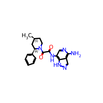 C[C@H]1CCN(C(=O)C(=O)Nc2cnc(N)c3cn[nH]c23)[C@@H](c2ccccc2)C1